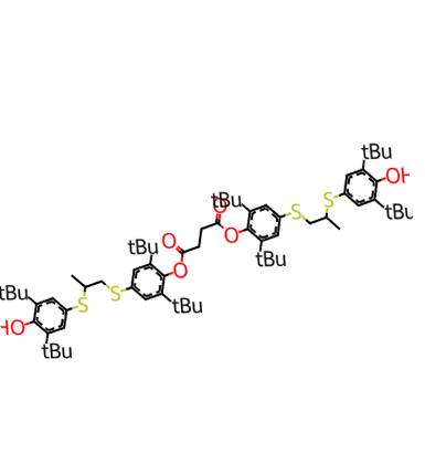 CC(CSc1cc(C(C)(C)C)c(OC(=O)CCC(=O)Oc2c(C(C)(C)C)cc(SCC(C)Sc3cc(C(C)(C)C)c(O)c(C(C)(C)C)c3)cc2C(C)(C)C)c(C(C)(C)C)c1)Sc1cc(C(C)(C)C)c(O)c(C(C)(C)C)c1